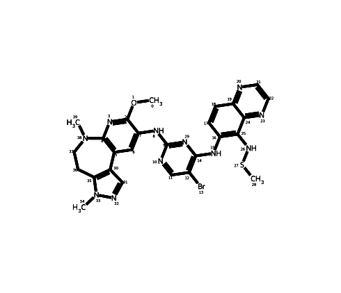 COc1nc2c(cc1Nc1ncc(Br)c(Nc3ccc4nccnc4c3NSC)n1)-c1cnn(C)c1CCN2C